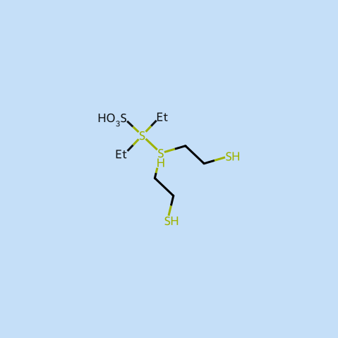 CCS(CC)([SH](CCS)CCS)S(=O)(=O)O